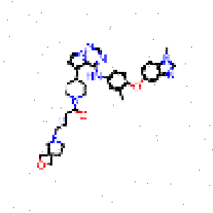 Cc1cc(Nc2ncnn3ccc(C4CCN(C(=O)/C=C/CN5CCC6(COC6)C5)CC4)c23)ccc1Oc1ccc2c(c1)ncn2C